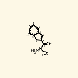 CCN(N)C(=O)C1=Cc2ccccc2C1